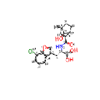 O=C(N[C@@H](Cc1coc2c(Cl)cccc12)B(O)O)[C@H]1C[C@@H]2CCC1C2O